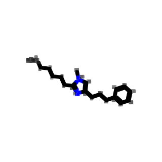 CCCCCCCCCCCCCCCc1nc(CCCc2ccccc2)cn1C